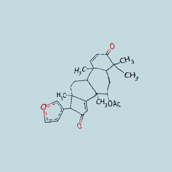 CC(=O)OC1CC2C(C)(C)C(=O)C=CC2(C)C2CCC3(C)C(=CC(=O)C3c3ccoc3)C12C